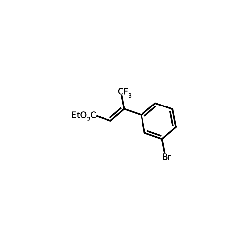 CCOC(=O)C=C(c1cccc(Br)c1)C(F)(F)F